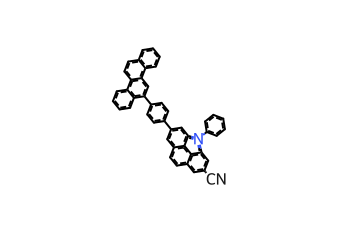 N#Cc1cc2ccc3cc(-c4ccc(-c5cc6c7ccccc7ccc6c6ccccc56)cc4)cc4c3c2c(c1)n4-c1ccccc1